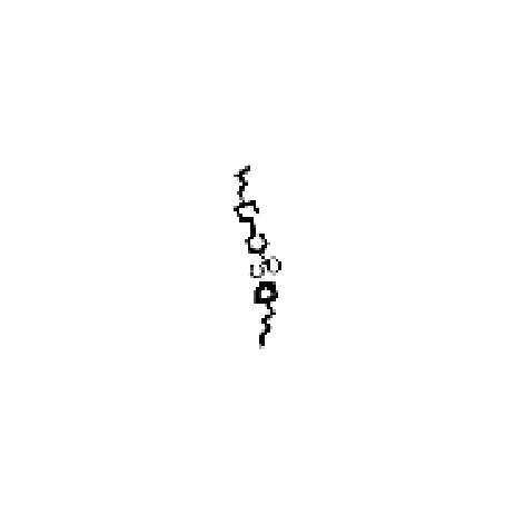 CCCCCc1ccc(OC(=O)[C@H]2CC[C@H]([C@H]3CC[C@H](CCCC)CC3)CC2)cc1